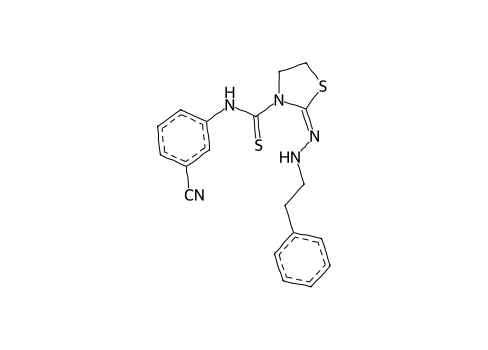 N#Cc1cccc(NC(=S)N2CCS/C2=N/NCCc2ccccc2)c1